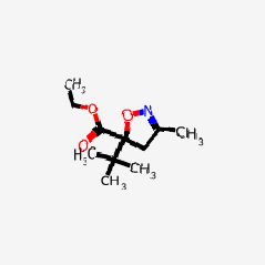 CCOC(=O)C1(C(C)(C)C)CC(C)=NO1